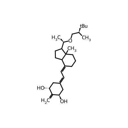 C=C1[C@H](O)CC(=C/C=C2\CCCC3(C)C2CCC3[C@@H](C)OC[C@H](C)C(C)(C)C)C[C@H]1O